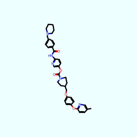 Cc1ccc(Oc2ccc(OCC3CCN(C(=O)Oc4ccc(NC(=O)c5ccc(CN6CCCCC6)cc5)nc4)CC3)cc2)nc1